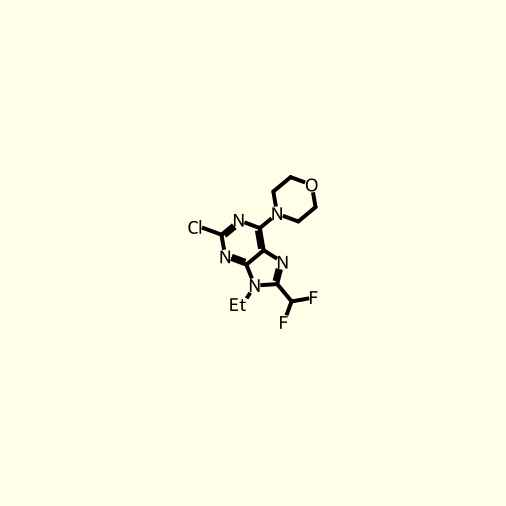 CCn1c(C(F)F)nc2c(N3CCOCC3)nc(Cl)nc21